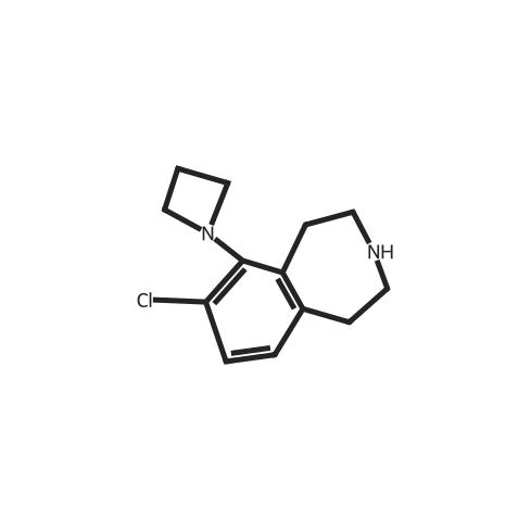 Clc1ccc2c(c1N1CCC1)CCNCC2